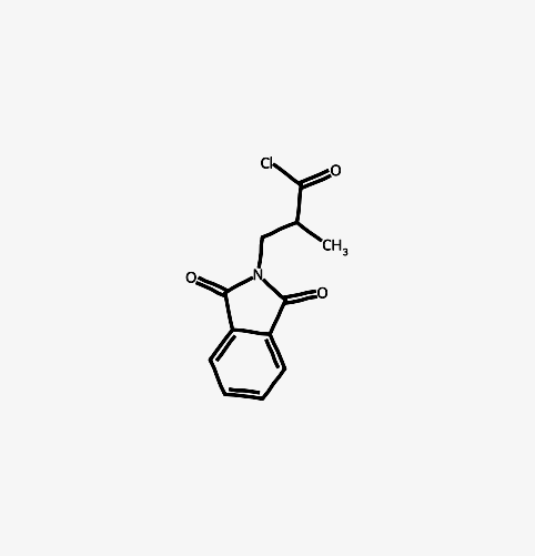 CC(CN1C(=O)c2ccccc2C1=O)C(=O)Cl